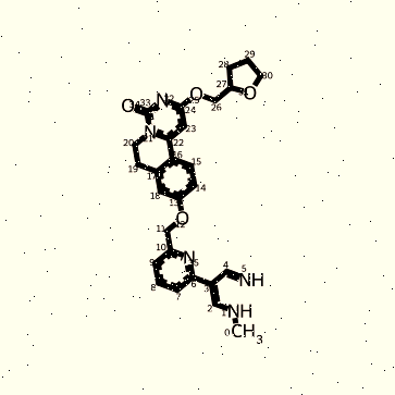 CN/C=C(\C=N)c1cccc(COc2ccc3c(c2)CCn2c-3cc(OCC3CCCO3)nc2=O)n1